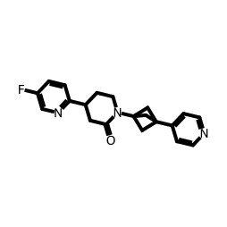 O=C1CC(c2ccc(F)cn2)CCN1C12CC(c3ccncc3)(C1)C2